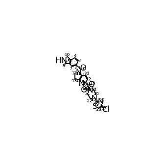 O=C(c1ccc2c(c1)CNC2)N1CCc2nc(S(=O)(=O)N3CCN(c4nc(Cl)cs4)CC3)ccc21